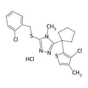 Cc1csc(C2(c3nnc(SCc4ccccc4Cl)n3C)CCCC2)c1Cl.Cl